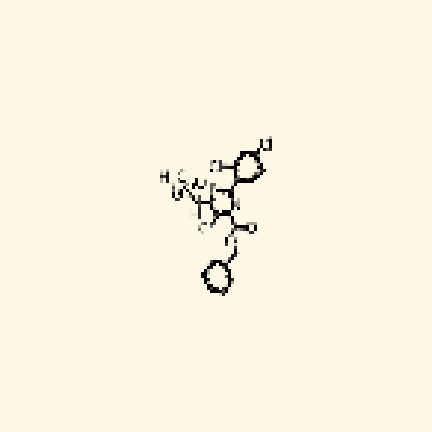 CS(=O)(=O)Nc1nc(-c2ccc(Cl)cc2Cl)nc(C(=O)OCc2ccccc2)c1Cl